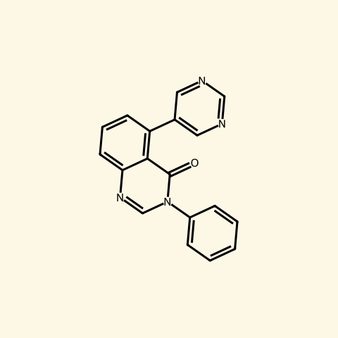 O=c1c2c(-c3cncnc3)cccc2ncn1-c1ccccc1